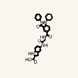 O=C(CNC(=O)c1ccc2c(c1)c(=O)n(-c1ccccc1)n2C1CCCCC1)Nc1ccc2[nH]c(C(=O)O)cc2c1